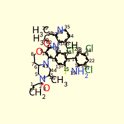 C=CC(=O)N1CC2CCOc3c(c4cc(F)c(-c5c(N)c(Cl)cc(Cl)c5F)c(Cl)c4n(-c4c(C)ccnc4C(C)C)c3=O)N2CC1C